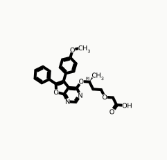 COc1ccc(-c2c(-c3ccccc3)oc3ncnc(O[C@H](C)CCOCC(=O)O)c23)cc1